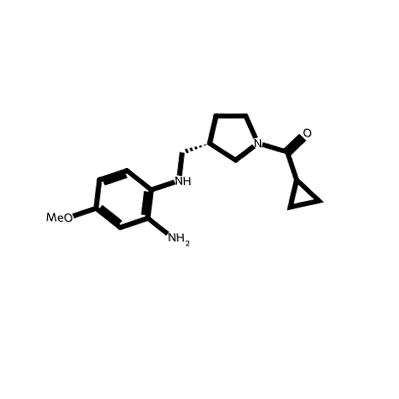 COc1ccc(NC[C@@H]2CCN(C(=O)C3CC3)C2)c(N)c1